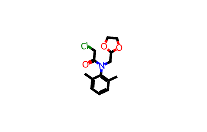 Cc1cccc(C)c1N(CC1OCCO1)C(=O)CCl